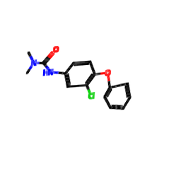 CN(C)C(=O)Nc1ccc(Oc2ccccc2)c(Cl)c1